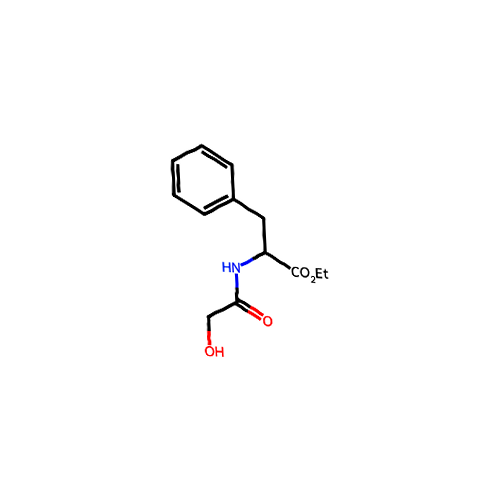 CCOC(=O)C(Cc1ccccc1)NC(=O)CO